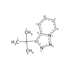 CC(C)(C)c1nnn2ccccc12